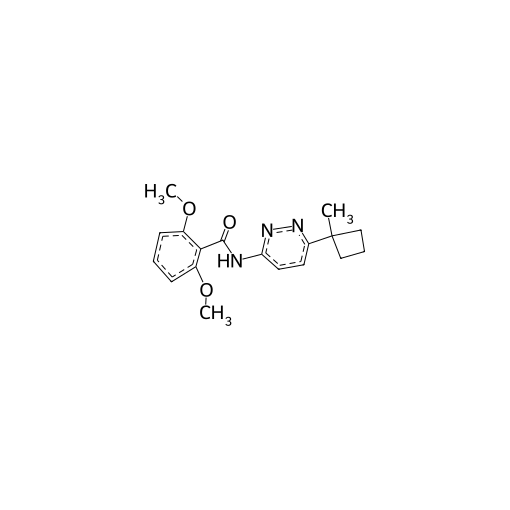 COc1cccc(OC)c1C(=O)Nc1ccc(C2(C)CCC2)nn1